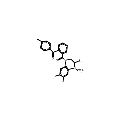 CCC1CN(C(=O)c2ccccc2C(=O)c2ccc(C)cc2)c2cc(C)c(C)cc2N1C(=O)O